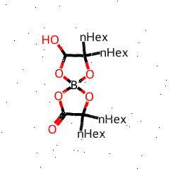 CCCCCCC1(CCCCCC)O[B-]2(OC1=O)OC(O)C(CCCCCC)(CCCCCC)O2